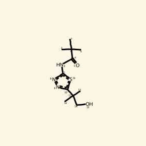 CC(C)(C)C(=O)Nc1nnc(C(C)(C)CO)s1